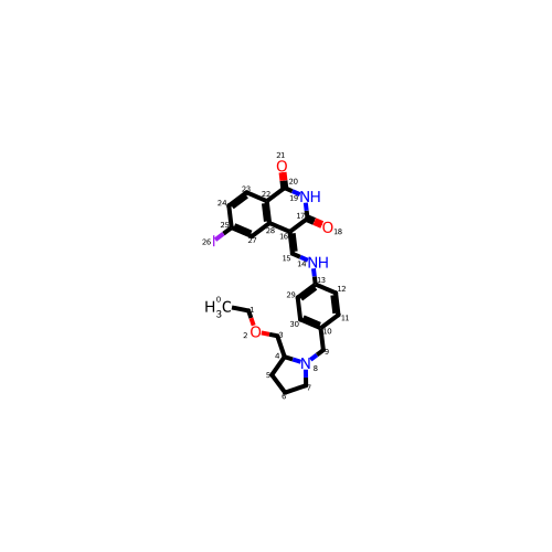 CCOCC1CCCN1Cc1ccc(NC=C2C(=O)NC(=O)c3ccc(I)cc32)cc1